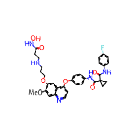 COc1cc2nccc(Oc3ccc(NC(=O)C4(C(=O)Nc5ccc(F)cc5)CC4)cc3)c2cc1OCCCNCCC(=O)NO